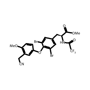 COC(=O)[C@H](Cc1cc(Br)c(Oc2ccc(OC)c(CC#N)c2)c(Br)c1)NC(=O)C(F)(F)F